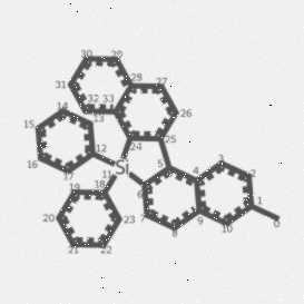 Cc1ccc2c3c(ccc2c1)[Si](c1ccccc1)(c1ccccc1)c1c-3ccc2ccccc12